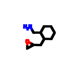 NCC1CCCCC1CC1CO1